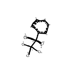 ClC(Cl)(Cl)C(Cl)(Cl)c1ccccc1